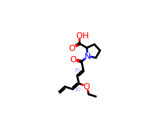 C=C/C=C(\C=C\C(=O)N1CCCC1C(=O)O)OCC